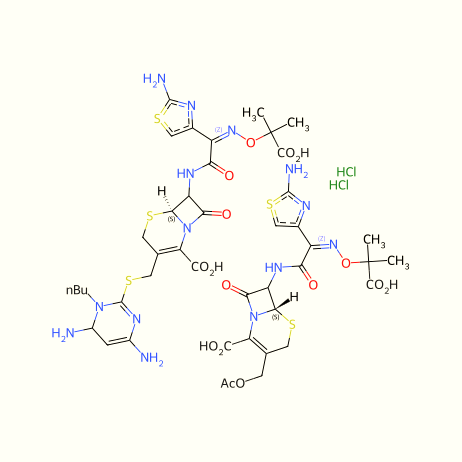 CC(=O)OCC1=C(C(=O)O)N2C(=O)C(NC(=O)/C(=N\OC(C)(C)C(=O)O)c3csc(N)n3)[C@@H]2SC1.CCCCN1C(SCC2=C(C(=O)O)N3C(=O)C(NC(=O)/C(=N\OC(C)(C)C(=O)O)c4csc(N)n4)[C@@H]3SC2)=NC(N)=CC1N.Cl.Cl